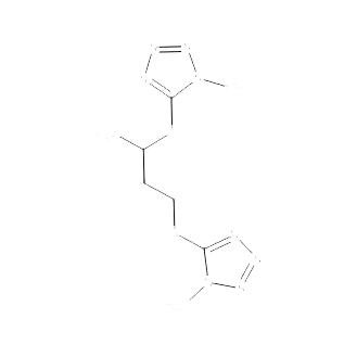 CC(CCSc1nnnn1C)Sc1nnnn1C